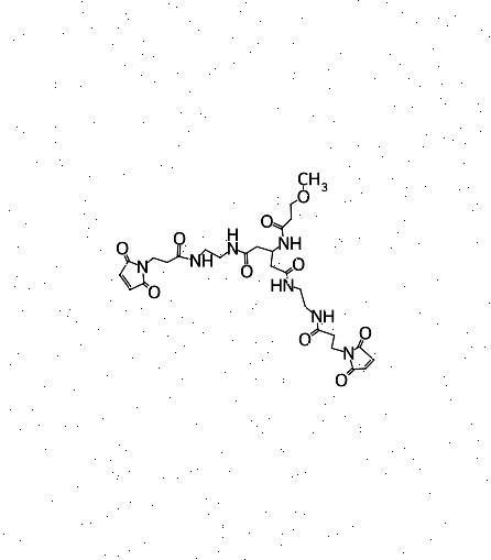 COCCC(=O)NC(CC(=O)NCCNC(=O)CCN1C(=O)C=CC1=O)CC(=O)NCCNC(=O)CCN1C(=O)C=CC1=O